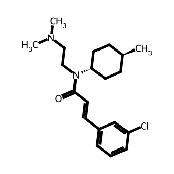 CN(C)CCN(C(=O)C=Cc1cccc(Cl)c1)[C@H]1CC[C@H](C)CC1